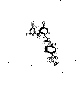 Cc1cc(S(=O)(=O)NC2CC2)ccc1NC(=O)COc1ccc(Cl)cc1C(=O)c1cc(F)cc(F)c1